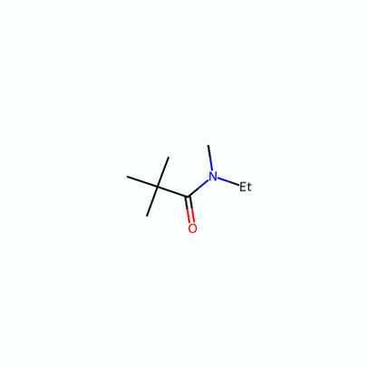 CCN(C)C(=O)C(C)(C)C